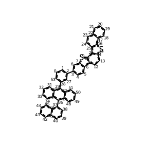 c1cc(-c2ccc3c(c2)sc2c3ccc3sc4c5ccccc5ccc4c32)cc(-c2c3ccccc3c(-c3cccc4ccccc34)c3ccccc23)c1